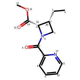 CC[C@@H]1CN(C(=O)c2ccccn2)[C@@H]1C(=O)OC